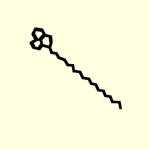 CCCCCCCCCCCCCCCCCCCC1C=Cc2cccc3cccc1c23